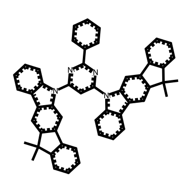 CC1(C)c2ccccc2-c2cc3c(cc21)c1ccccc1n3-c1cc(-n2c3ccccc3c3cc4c(cc32)-c2ccccc2C4(C)C)nc(-c2ccccc2)n1